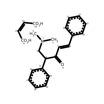 CN(C)CC(C(=O)C=Cc1ccccc1)c1ccccc1.O=C(O)/C=C\C(=O)O